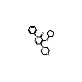 O=c1c(OC2CCCC2)c(N2CCNCC2)cnn1-c1ccccc1